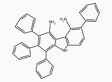 Nc1c(-c2ccccc2)ccc2[nH]c3c(-c4ccccc4)c(-c4ccccc4)c(-c4ccccc4)c(N)c3c12